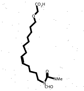 CNC(=O)N(C=O)CCCC/C=C\CCCCCCCOCC(=O)O